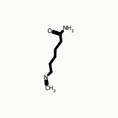 C=NCCCCCC(N)=O